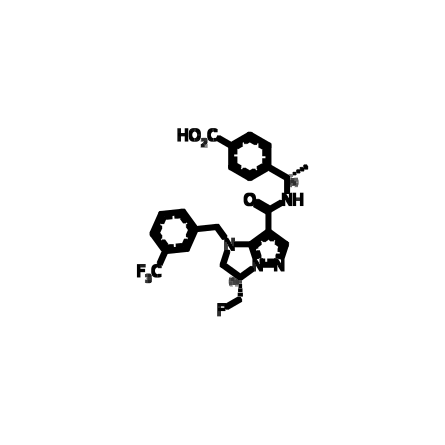 C[C@H](NC(=O)c1cnn2c1N(Cc1cccc(C(F)(F)F)c1)C[C@H]2CF)c1ccc(C(=O)O)cc1